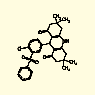 CC1(C)CC(=O)C2=C(C1)NC1=C(C(=O)CC(C)(C)C1)C2c1ccc(Cl)c(S(=O)(=O)c2ccccc2)c1